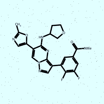 CNC(=O)c1cc(F)c(F)c(-c2cnn3cc(-c4cnc(C)o4)c(NC4CCOC4)nc23)c1